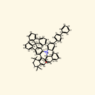 CC1(C)CCC(C)(C)c2c(-c3cc4c(cc3N(c3ccc(-c5ccc(-c6ccccc6)cc5)cc3)c3cccc5ccccc35)C3(c5ccccc5-c5ccccc53)c3ccccc3-4)cccc21